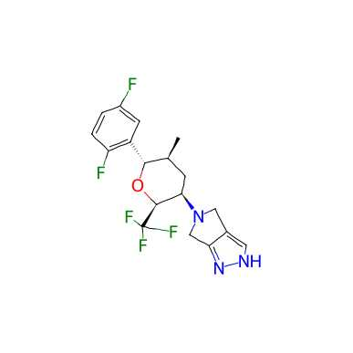 C[C@H]1C[C@@H](N2Cc3c[nH]nc3C2)[C@@H](C(F)(F)F)O[C@@H]1c1cc(F)ccc1F